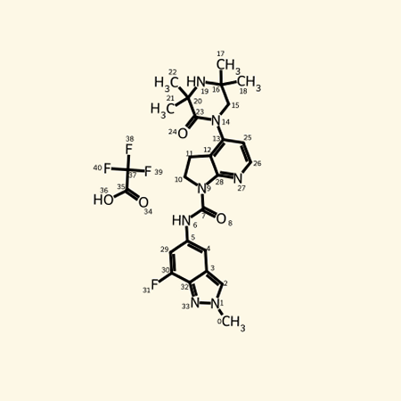 Cn1cc2cc(NC(=O)N3CCc4c(N5CC(C)(C)NC(C)(C)C5=O)ccnc43)cc(F)c2n1.O=C(O)C(F)(F)F